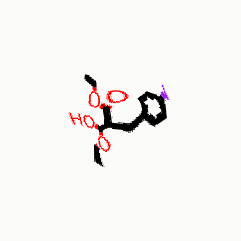 CCOC(=O)C(Cc1ccc(I)cc1)C(O)OCC